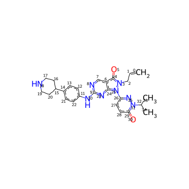 C=CCn1c(=O)c2cnc(Nc3ccc(C4CCNCC4)cc3)nc2n1-c1ccc(=O)n(C(C)C)n1